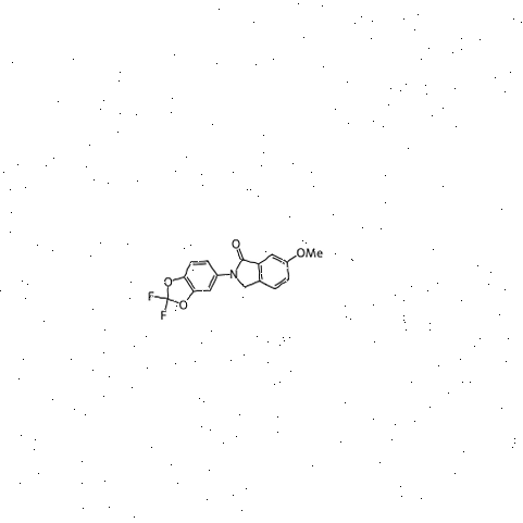 COc1ccc2c(c1)C(=O)N(c1ccc3c(c1)OC(F)(F)O3)C2